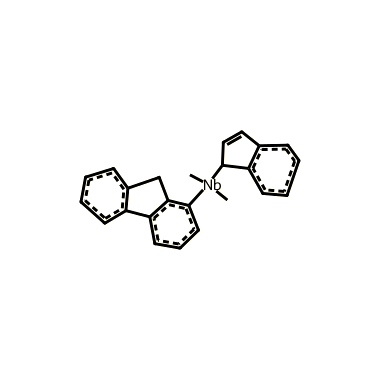 [CH3][Nb]([CH3])([c]1cccc2c1Cc1ccccc1-2)[CH]1C=Cc2ccccc21